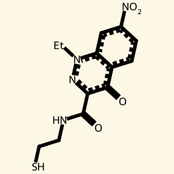 CCn1nc(C(=O)NCCS)c(=O)c2ccc([N+](=O)[O-])cc21